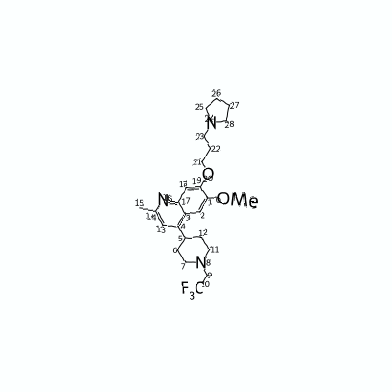 COc1cc2c(C3CCN(CC(F)(F)F)CC3)cc(C)nc2cc1OCCCN1CCCC1